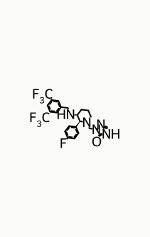 O=c1[nH]cnn1CN1CCC[C@H](NCc2cc(C(F)(F)F)cc(C(F)(F)F)c2)[C@@H]1c1ccc(F)cc1